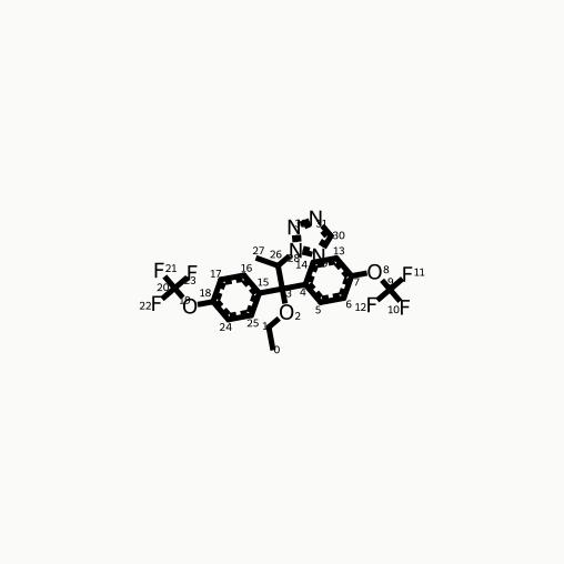 CCOC(c1ccc(OC(F)(F)F)cc1)(c1ccc(OC(F)(F)F)cc1)C(C)n1ncnn1